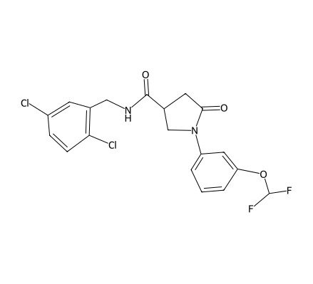 O=C(NCc1cc(Cl)ccc1Cl)C1CC(=O)N(c2cccc(OC(F)F)c2)C1